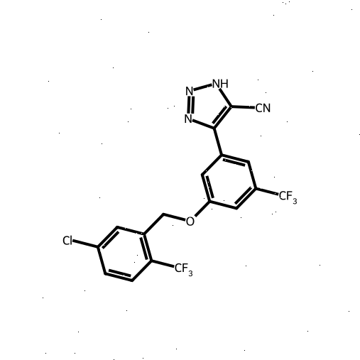 N#Cc1[nH]nnc1-c1cc(OCc2cc(Cl)ccc2C(F)(F)F)cc(C(F)(F)F)c1